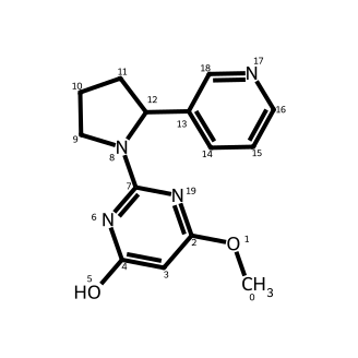 COc1cc(O)nc(N2CCCC2c2cccnc2)n1